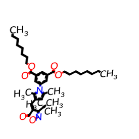 CCCCCCCCOC(=O)c1cc(C(=O)OCCCCCCCC)cc(-n2c(C)cc(C=C3C(=O)ON=C3C(C)(C)C)c2C)c1